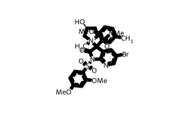 CNC(=O)[C@@H]1C[C@@H](O)C[N+]1(C)C1(c2cc(C)ccc2OC)C(=O)N(S(=O)(=O)c2ccc(OC)cc2OC)c2ncc(Br)cc21